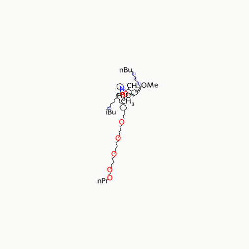 C=C(C(=O)N1CCCCC1C(=O)CC(CCC/C=C/C(C)CC)CCC1(C)CCC(CCCOCCCCCOCCCCCOCCCCCOCCOCCC)CC1)C1C[C@H](CC(/C=C/C=C/C=C/CCCC)OC)CC[C@H]1C